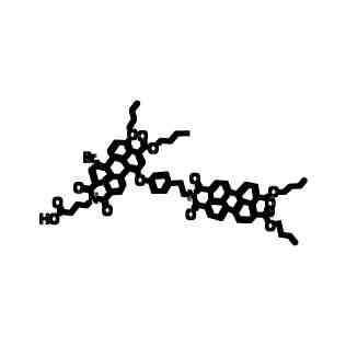 CCCCOC(=O)c1ccc2c3ccc4c5c(ccc(c6ccc(C(=O)OCCCC)c1c26)c53)C(=O)N(CCc1ccc(Oc2cc(C(=O)OCCCC)c3c(OCCCC)ccc5c6c(Br)cc7c8c(ccc(c2c35)c86)C(=O)N(CCCC(=O)O)C7=O)cc1)C4=O